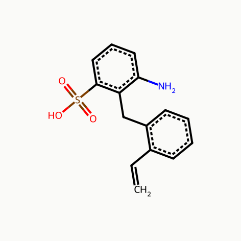 C=Cc1ccccc1Cc1c(N)cccc1S(=O)(=O)O